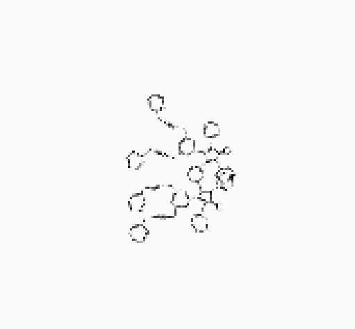 O=C1C(c2ccccc2)=C(c2cc(CC#CCc3ccccc3)cc(CC#CCc3ccccc3)c2)C(c2cccc(C3=C(c4ccccc4)C(=O)C(c4ccccc4)=C3c3cc(CC#CCc4ccccc4)cc(CC#CCc4ccccc4)c3)c2)=C1c1ccccc1